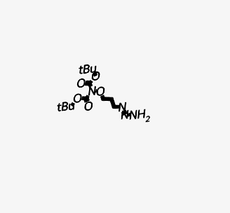 CC(C)(C)OC(=O)N(OCCCN=NN)C(=O)OC(C)(C)C